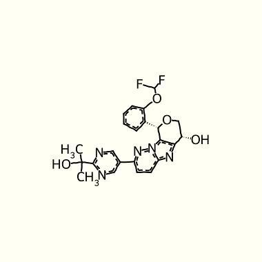 CC(C)(O)c1ncc(-c2ccc3nc4c(n3n2)[C@H](c2ccccc2OC(F)F)OC[C@@H]4O)cn1